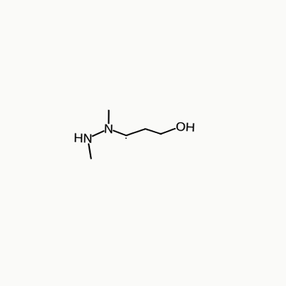 CNN(C)[CH]CCO